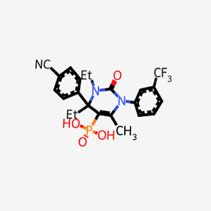 CCN1C(=O)N(c2cccc(C(F)(F)F)c2)C(C)=C(P(=O)(O)O)C1(CC)c1ccc(C#N)cc1